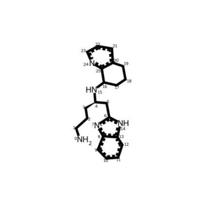 NCCC[C@H](Cc1nc2ccccc2[nH]1)NC1CCCc2cccnc21